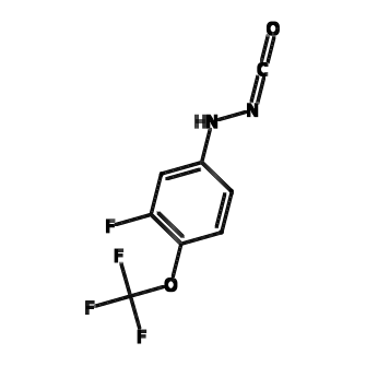 O=C=NNc1ccc(OC(F)(F)F)c(F)c1